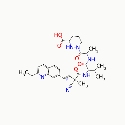 CCc1ccc2ccc(/C=C/C(C)(C#N)C(=O)NC(C(=O)NC(C)C(=O)N3CCCC(C(=O)O)N3)C(C)C)cc2n1